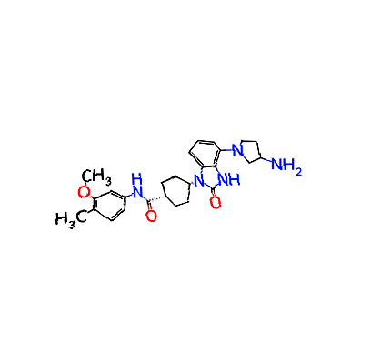 COc1cc(NC(=O)[C@H]2CC[C@@H](n3c(=O)[nH]c4c(N5CCC(N)C5)cccc43)CC2)ccc1C